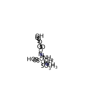 C/N=N/c1c(S(=O)(=O)O)cc2c(SOOO)cc(/N=N/c3ccc(S(=O)(=O)CCOSOOO)cc3)c(N)c2c1O